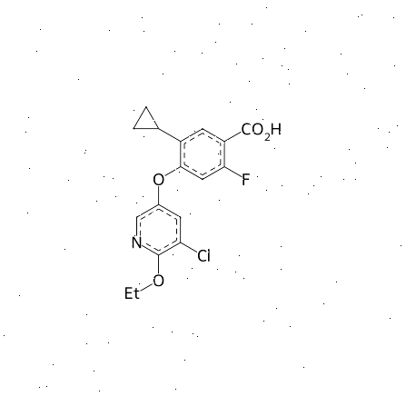 CCOc1ncc(Oc2cc(F)c(C(=O)O)cc2C2CC2)cc1Cl